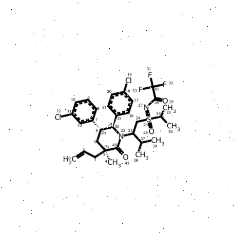 C=CC[C@@]1(C)C[C@H](c2cccc(Cl)c2)[C@@H](c2ccc(Cl)cc2)N(C(CS(=O)(=NC(=O)C(F)(F)F)C(C)C)C(C)C)C1=O